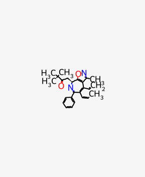 C=CC1=C(/C=C\C)C(c2ccccc2)=N[C@@H](CC(=O)C(C)(C)C)c2onc(C)c21